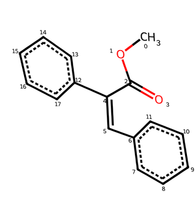 COC(=O)C(=Cc1ccccc1)c1ccccc1